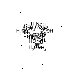 CC(C)(N)CNC(CO)(CO)CO.CN(C)C(CO)(CO)C(O)CC(C)(CO)NCC(O)CNC(C)(C)CO